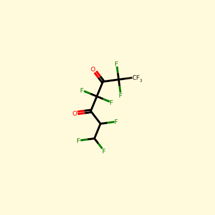 O=C(C(F)C(F)F)C(F)(F)C(=O)C(F)(F)C(F)(F)F